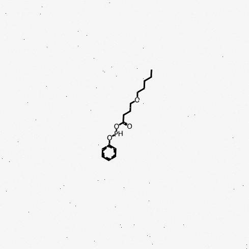 CCCCCOCCCC(=O)OPOc1ccccc1